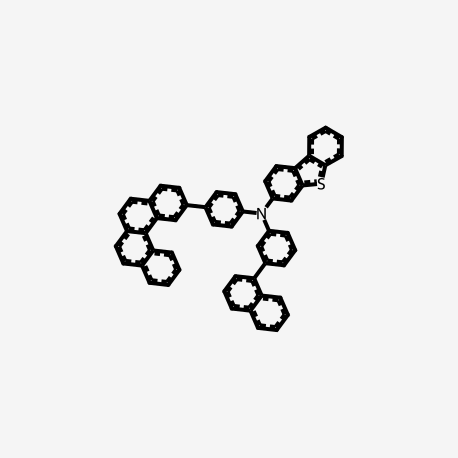 c1cc(-c2cccc3ccccc23)cc(N(c2ccc(-c3ccc4ccc5ccc6ccccc6c5c4c3)cc2)c2ccc3c(c2)sc2ccccc23)c1